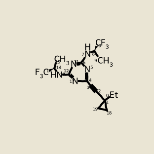 CCC1(C#Cc2nc(N[C@H](C)C(F)(F)F)nc(N[C@H](C)C(F)(F)F)n2)CC1